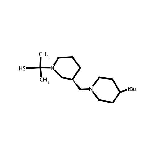 CC(C)(C)C1CCN(C[C@@H]2CCCN(C(C)(C)S)C2)CC1